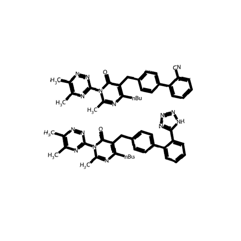 CCCCc1nc(C)n(-c2nnc(C)c(C)n2)c(=O)c1Cc1ccc(-c2ccccc2-c2nnn[nH]2)cc1.CCCCc1nc(C)n(-c2nnc(C)c(C)n2)c(=O)c1Cc1ccc(-c2ccccc2C#N)cc1